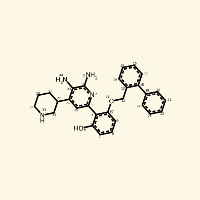 Nc1nc(-c2c(O)cccc2OCc2ccccc2-c2ccccc2)cc(C2CCCNC2)c1N